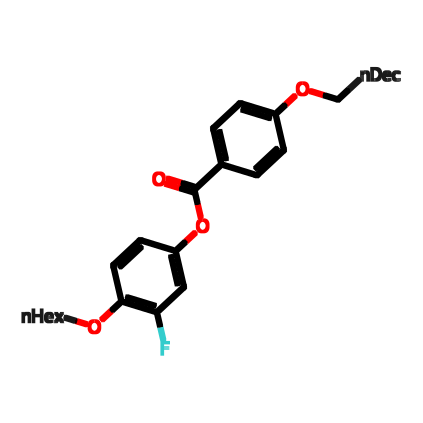 CCCCCCCCCCCOc1ccc(C(=O)Oc2ccc(OCCCCCC)c(F)c2)cc1